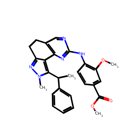 COC(=O)c1ccc(Nc2ncc3c(n2)-c2c(nn(C)c2C(C)c2ccccc2)CC3)c(OC)c1